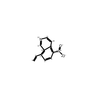 C=Cc1ccc([N+](=O)[O-])c2ccncc12